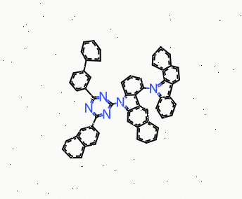 c1ccc(-c2cccc(-c3nc(-c4ccc5ccccc5c4)nc(-n4c5cc6ccccc6cc5c5c(-n6c7ccccc7c7ccc8ccccc8c76)cccc54)n3)c2)cc1